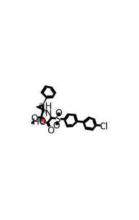 COC(=O)[C@@]1(NC(C(=O)O)S(=O)(=O)c2ccc(-c3ccc(Cl)cc3)cc2)C[C@H]1c1ccccc1